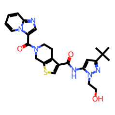 CC(C)(C)c1cc(NC(=O)c2csc3c2CCN(C(=O)c2cnc4ccccn24)C3)n(CCO)n1